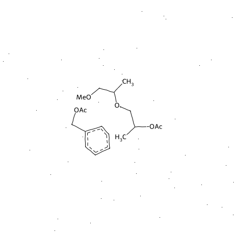 CC(=O)OCc1ccccc1.COCC(C)OCC(C)OC(C)=O